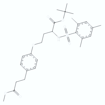 COC(=O)CCc1ccc(OCCC(NS(=O)(=O)c2c(C)cc(C)cc2C)C(=O)OC(C)(C)C)cc1